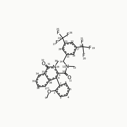 COc1ccccc1-c1c(C(=O)N(C)Cc2cc(C(F)(F)F)cc(C(F)(F)F)c2)n(C)c(=O)c2ccccc12